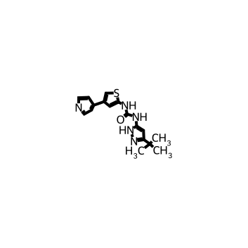 CC(C)(C)c1cc(NC(=O)Nc2cc(-c3ccncc3)cs2)[nH]n1